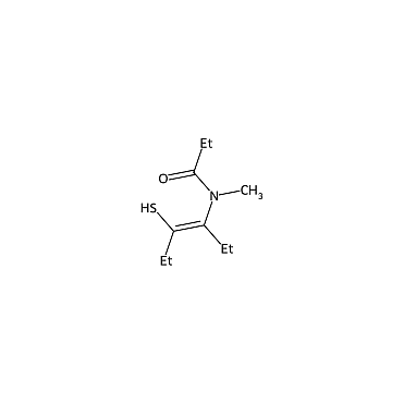 CCC(=O)N(C)/C(CC)=C(\S)CC